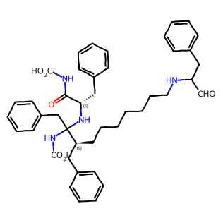 O=CC(Cc1ccccc1)NCCCCCCC[C@@H](Cc1ccccc1)C(Cc1ccccc1)(NC(=O)O)N[C@@H](Cc1ccccc1)C(=O)NC(=O)O